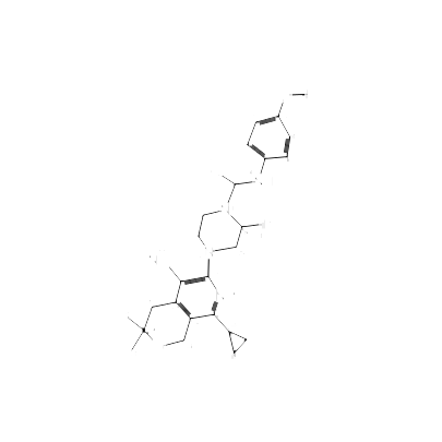 CCOc1ccc(NC(O)N2CCN(c3nc(C4CC4)c4c(c3C#N)CC(C)(C)OC4)CC2C(C)C)cc1